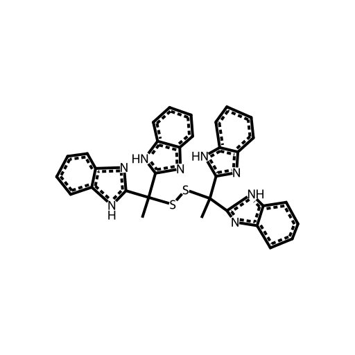 CC(SSC(C)(c1nc2ccccc2[nH]1)c1nc2ccccc2[nH]1)(c1nc2ccccc2[nH]1)c1nc2ccccc2[nH]1